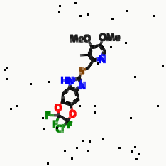 COc1cnc(CSc2nc3cc4c(cc3[nH]2)OC(F)(F)C(F)(Cl)O4)c(C)c1OC